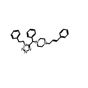 C(=Cc1ccccc1)CN1CCN(C(c2ccccc2)c2nnnn2CCc2ccccc2)CC1